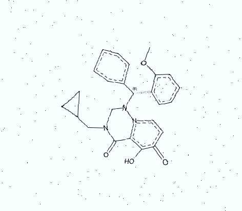 COc1ccccc1[C@@H](c1ccccc1)N1CN(CC2CC2)C(=O)c2c(O)c(=O)ccn21